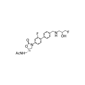 CC(=O)NC[C@H]1CN(c2ccc(-c3ccc(CNCC(O)CF)cc3)c(F)c2)C(=O)O1